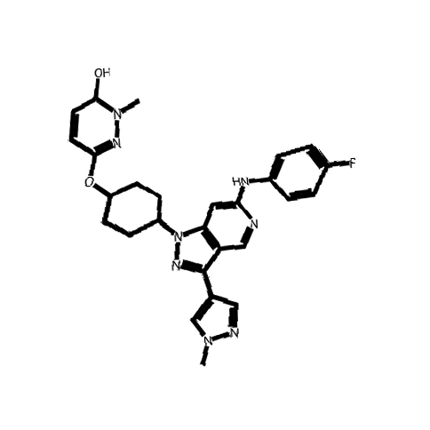 CN1N=C(OC2CCC(n3nc(-c4cnn(C)c4)c4cnc(Nc5ccc(F)cc5)cc43)CC2)C=CC1O